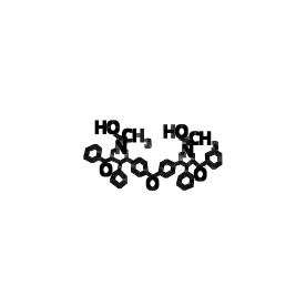 C[C@@H](CO)N1CC(C(=O)c2ccccc2)C(c2ccccc2)C(c2ccc(C(=O)c3ccc(C4CN([C@@H](C)CO)CC(C(=O)c5ccccc5)C4c4ccccc4)cc3)cc2)C1